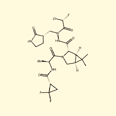 CC(C)(C)[C@H](NC(=O)[C@@H]1CC1(F)F)C(=O)N1C[C@H]2[C@@H]([C@H]1C(=O)NN(C[C@@H]1CCNC1=O)C(=O)[C@@H](F)Cl)C2(C)C